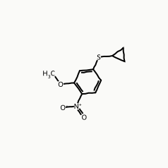 COc1cc(SC2CC2)ccc1[N+](=O)[O-]